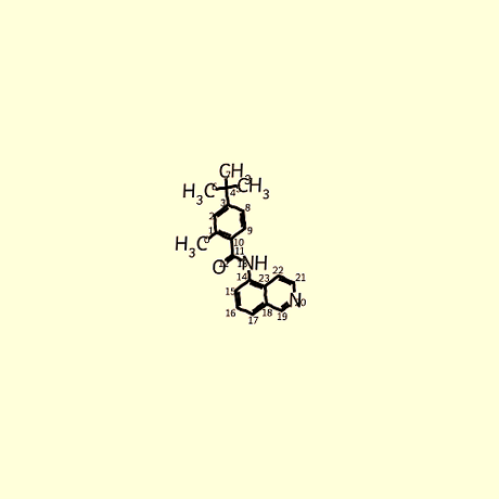 Cc1cc(C(C)(C)C)ccc1C(=O)Nc1cccc2cnccc12